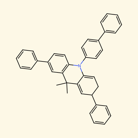 CC1(C)C2=CC(c3ccccc3)CC=C2N(c2ccc(-c3ccccc3)cc2)c2ccc(-c3ccccc3)cc21